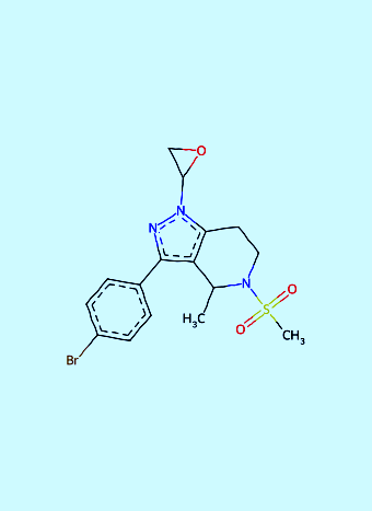 CC1c2c(-c3ccc(Br)cc3)nn(C3CO3)c2CCN1S(C)(=O)=O